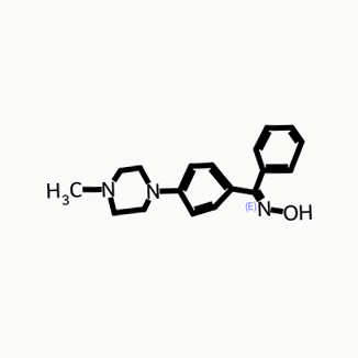 CN1CCN(c2ccc(/C(=N/O)c3ccccc3)cc2)CC1